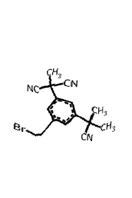 CC(C)(C#N)c1cc(CBr)cc(C(C)(C#N)C#N)c1